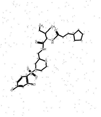 CCC(C)[C@H](NC(=O)CCC1CCCC1)C(=O)NCC1CN(S(=O)(=O)c2ccc(Cl)cc2Cl)CCO1